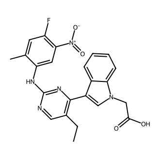 CCc1cnc(Nc2cc([N+](=O)[O-])c(F)cc2C)nc1-c1cn(CC(=O)O)c2ccccc12